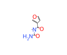 NC(=O)[N]C(=O)c1ccoc1